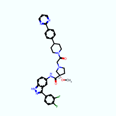 CO[C@@]1(C(=O)Nc2ccc3[nH]nc(-c4ccc(F)c(F)c4)c3c2)CCN(CC(=O)N2CCC(c3ccc(-c4ncccn4)cc3)CC2)C1